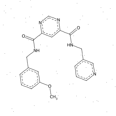 COc1cccc(CNC(=O)c2cc(C(=O)NCc3cccnc3)ncn2)c1